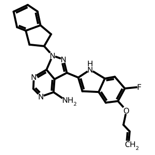 C=CCOc1cc2cc(-c3nn(C4Cc5ccccc5C4)c4ncnc(N)c34)[nH]c2cc1F